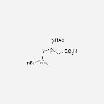 CCCC[C@@H](C)C[C@@H](CC(=O)O)NC(C)=O